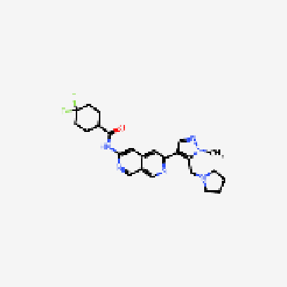 Cn1ncc(-c2cc3cc(NC(=O)C4CCC(F)(F)CC4)ncc3cn2)c1CN1CCCC1